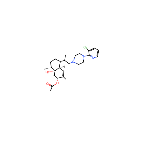 CC(=O)O[C@@H]1[CH][C@@]2(O)[C@H](C)CC[C@@H](C(C)CN3CCN(c4ncccc4Cl)CC3)[C@H]2C=C1C